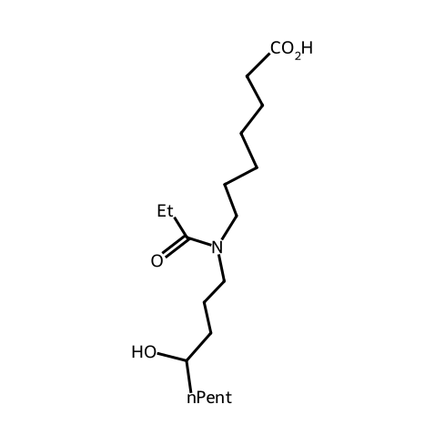 CCCCCC(O)CCCN(CCCCCCC(=O)O)C(=O)CC